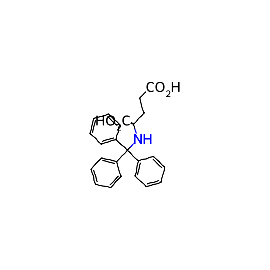 O=C(O)CC[C@@H](NC(c1ccccc1)(c1ccccc1)c1ccccc1)C(=O)O